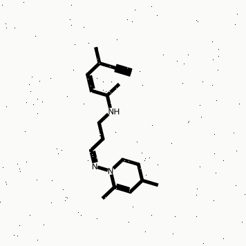 C#CC(C)/C=C\C(C)NCC/C=N\N1CCC(C)C=C1C